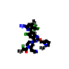 C=C(F)C(=O)N1CCN(c2nc(OCC3CCCN3C)nc3cc(-c4nc(N)cc(C)c4C(F)(F)F)c(Cl)cc23)CC1CC#N